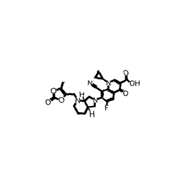 Cc1oc(=O)oc1CN1CCC[C@H]2CN(c3c(F)cc4c(=O)c(C(=O)O)cn(C5CC5)c4c3C#N)C[C@H]21